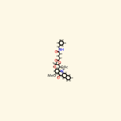 COc1cc2c(c3c1c(=O)c1cc4ccccc4cc1n3C)[C@H](OC(C)=O)[C@H](OC(=O)CCCC(=O)NCc1ccccc1)C(C)(C)O2